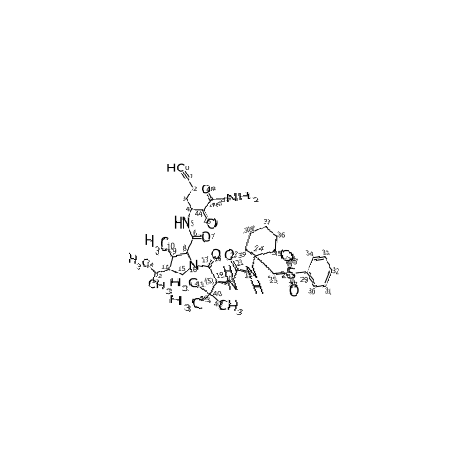 C#CCCC(NC(=O)C1C(C)C(C(C)C)CN1C(=O)[C@@H](NC(=O)NC1(CS(=O)(=O)c2ccccc2)CCCCC1)C(C)(C)C)C(=O)C(N)=O